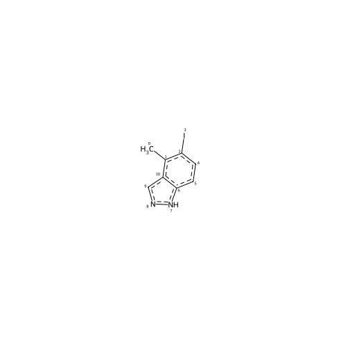 Cc1c(I)ccc2[nH]ncc12